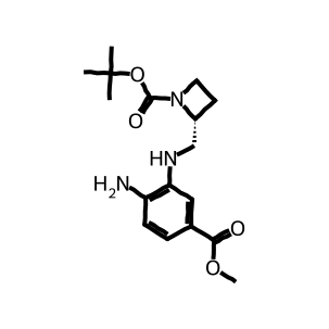 COC(=O)c1ccc(N)c(NC[C@H]2CCN2C(=O)OC(C)(C)C)c1